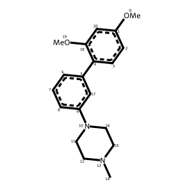 COc1ccc(-c2c[c]cc(N3CCN(C)CC3)c2)c(OC)c1